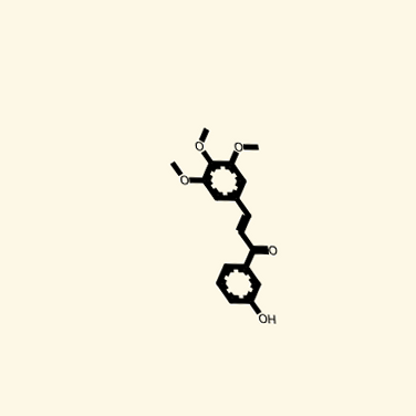 COc1cc(/C=C/C(=O)c2cccc(O)c2)cc(OC)c1OC